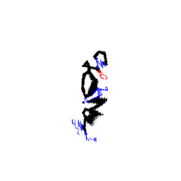 Cn1c(Cc2ccc(C(=N)N)cc2)nc2cc(C3(C(=O)N4CCCC4)CC3)ccc21